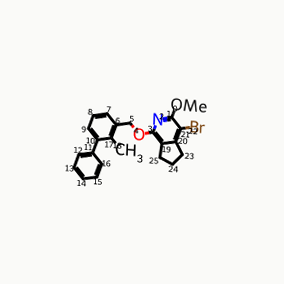 COc1nc(OCc2cccc(-c3ccccc3)c2C)c2c(c1Br)CCC2